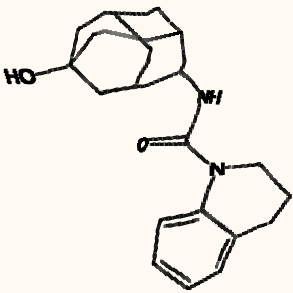 O=C(NC1C2CC3CC1CC(O)(C3)C2)N1CCCc2ccccc21